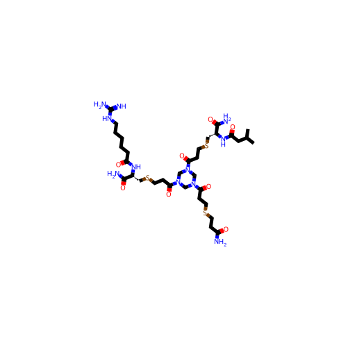 CC(C)CC(=O)N[C@H](CSCCC(=O)N1CN(C(=O)CCSCCC(N)=O)CN(C(=O)CCSC[C@@H](NC(=O)CCCCCNC(=N)N)C(N)=O)C1)C(N)=O